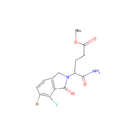 CC(C)(C)OC(=O)CCC(C(N)=O)N1Cc2ccc(Br)c(F)c2C1=O